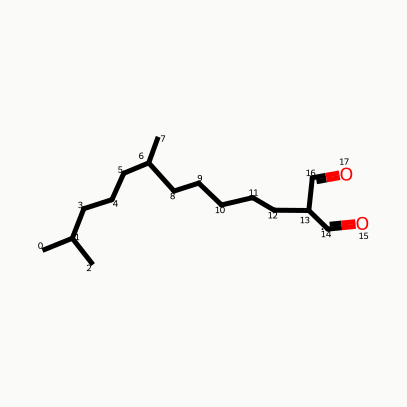 CC(C)CCCC(C)CCCCCC([C]=O)C=O